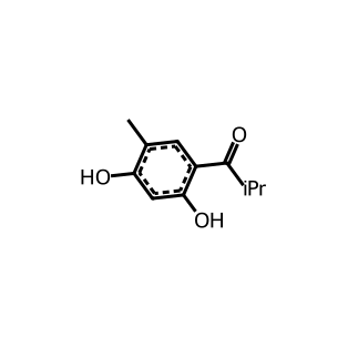 Cc1cc(C(=O)C(C)C)c(O)cc1O